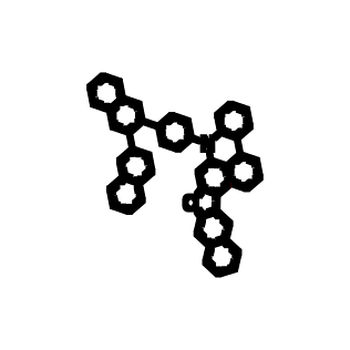 c1ccc(-c2ccccc2N(c2ccc(-c3cc4ccccc4cc3-c3ccc4ccccc4c3)cc2)c2ccc3c(c2)oc2cc4ccccc4cc23)cc1